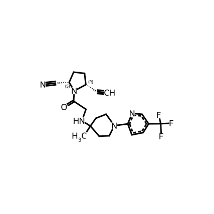 C#C[C@H]1CC[C@@H](C#N)N1C(=O)CNC1(C)CCN(c2ccc(C(F)(F)F)cn2)CC1